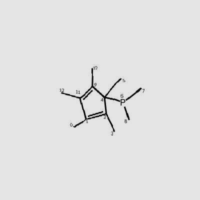 CC1=C(C)C(C)(P(C)C)C(C)=C1C